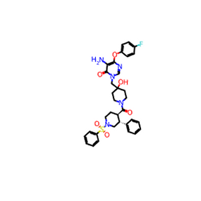 Nc1c(Oc2ccc(F)cc2)ncn(CC2(O)CCN(C(=O)[C@@H]3CCN(S(=O)(=O)c4ccccc4)C[C@H]3c3ccccc3)CC2)c1=O